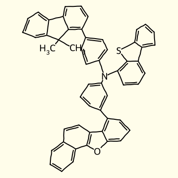 CC1(C)c2ccccc2-c2cccc(-c3ccc(N(c4cccc(-c5cccc6oc7c8ccccc8ccc7c56)c4)c4cccc5c4sc4ccccc45)cc3)c21